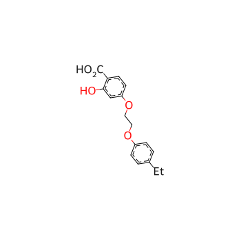 CCc1ccc(OCCOc2ccc(C(=O)O)c(O)c2)cc1